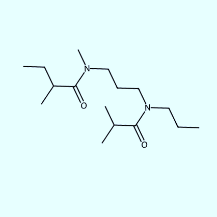 CCCN(CCCN(C)C(=O)C(C)CC)C(=O)C(C)C